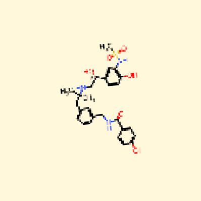 CC(C)(Cc1cccc(CNC(=O)c2ccc(O)cc2)c1)NC[C@H](O)c1ccc(O)c(NS(C)(=O)=O)c1